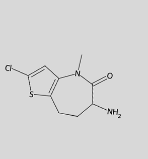 CN1C(=O)C(N)CCc2sc(Cl)cc21